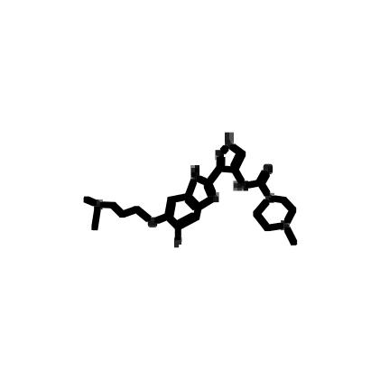 CN(C)CCCOc1cc2[nH]c(-c3n[nH]cc3NC(=O)N3CCN(C)CC3)nc2cc1F